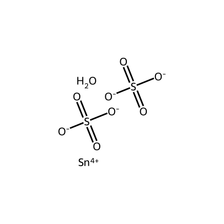 O.O=S(=O)([O-])[O-].O=S(=O)([O-])[O-].[Sn+4]